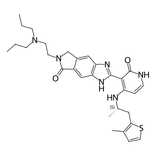 CCCN(CCC)CCN1Cc2cc3nc(-c4c(N[C@@H](C)Cc5sccc5C)cc[nH]c4=O)[nH]c3cc2C1=O